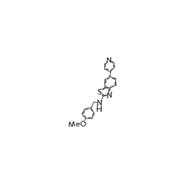 COc1ccc(CNc2nc3ccc(-c4ccncc4)cc3s2)cc1